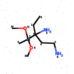 CCC(N)(CCN)[Si](C)(OC)OC